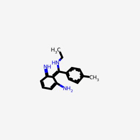 CCN/C(=C1\C(=N)C=CC=C1N)c1ccc(C)cc1